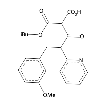 CCC(C)OC(=O)C(C(=O)O)C(=O)C(Cc1cccc(OC)c1)c1ccccn1